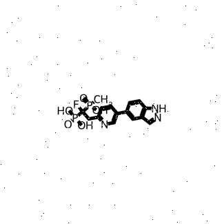 CP(=O)(O)C(F)(Cc1ccc(-c2ccc3[nH]ncc3c2)cn1)P(=O)(O)O